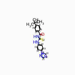 CC(C)(C)c1ccc(C(=O)NC(=S)Nc2ccc(-n3cncn3)cc2)cc1